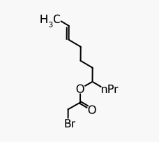 C/C=C/CCCC(CCC)OC(=O)CBr